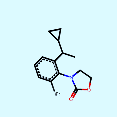 CC(C)c1cccc(C(C)C2CC2)c1N1CCOC1=O